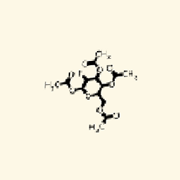 CC(=O)OCC1OC(OC(C)=O)C(F)C(OC(C)=O)C1OC(C)=O